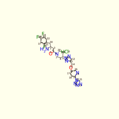 Cl.NC(CC(=O)N1CCC(n2ncc(COc3ccc(-n4cnnn4)nc3)n2)CC1)Cc1cc(F)c(F)cc1F